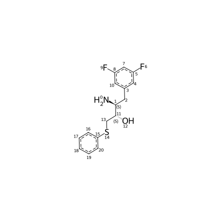 N[C@@H](Cc1cc(F)cc(F)c1)[C@H](O)CSc1ccccc1